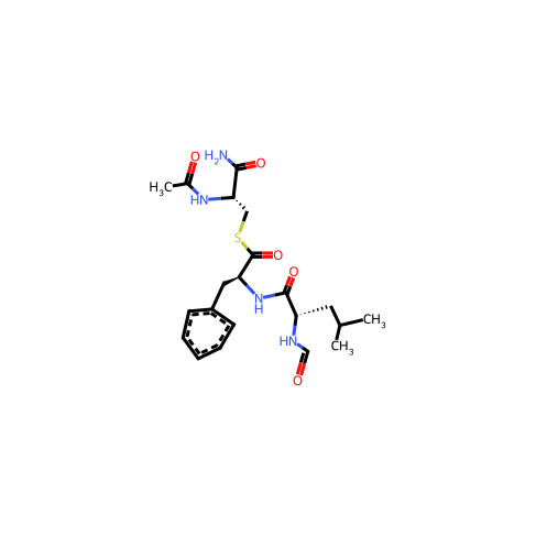 CC(=O)N[C@@H](CSC(=O)[C@H](Cc1ccccc1)NC(=O)[C@H](CC(C)C)NC=O)C(N)=O